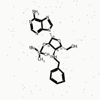 CC(C)(C)[Si](C)(C)O[C@@H]1[C@H](NCc2ccccc2)[C@@H](CO)O[C@H]1n1cnc2c(N)ncnc21